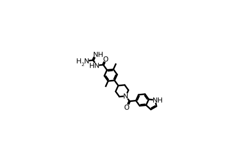 Cc1cc(C2CCN(C(=O)c3ccc4[nH]ccc4c3)CC2)c(C)cc1C(=O)NC(=N)N